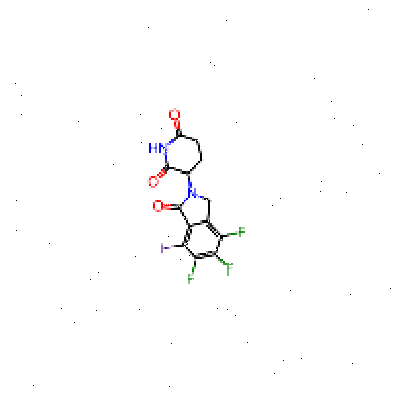 O=C1CC[C@@H](N2Cc3c(F)c(F)c(F)c(I)c3C2=O)C(=O)N1